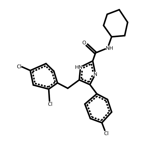 O=C(NC1CCCCC1)c1nc(-c2ccc(Cl)cc2)c(Cc2ccc(Cl)cc2Cl)[nH]1